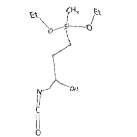 CCO[Si](C)(CCC(O)N=C=O)OCC